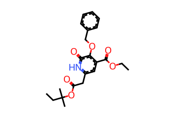 CCOC(=O)c1cc(CC(=O)OC(C)(C)CC)[nH]c(=O)c1OCc1ccccc1